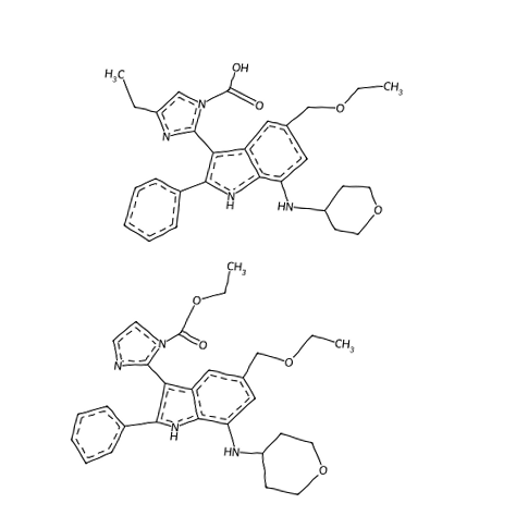 CCOCc1cc(NC2CCOCC2)c2[nH]c(-c3ccccc3)c(-c3nc(CC)cn3C(=O)O)c2c1.CCOCc1cc(NC2CCOCC2)c2[nH]c(-c3ccccc3)c(-c3nccn3C(=O)OCC)c2c1